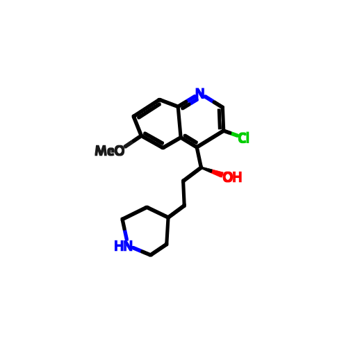 COc1ccc2ncc(Cl)c([C@@H](O)CCC3CCNCC3)c2c1